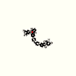 N#Cc1cnc(O[C@H]2C[C@H]3CC[C@@H](C2)N3C(=O)c2ccc(N3CCN(CC4CCN(c5ccc6c(c5)C(=O)N(C5CCC(=O)NC5=O)C6=O)CC4)CC3)cc2)cc1C(F)(F)F